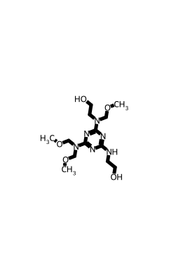 COCN(CCO)c1nc(NCCO)nc(N(COC)COC)n1